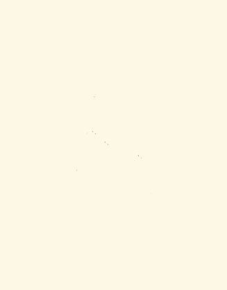 Oc1cc(O)n2nc(Br)cc2n1